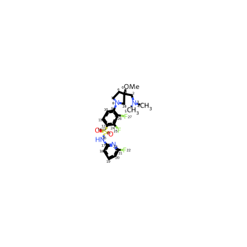 COC1(CN(C)C)CCN(c2ccc(S(=O)(=O)Nc3cccc(F)n3)c(F)c2F)C1